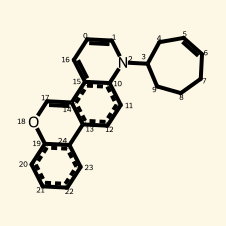 C1=CN(C2CC=CCCC2)c2ccc3c(c2=C1)=COc1ccccc1-3